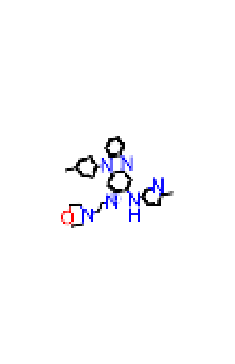 Cc1ccc(-n2c3c/c(=N\CCN4CCOCC4)c(Nc4ccc(C)nc4)cc-3nc3ccccc32)cc1